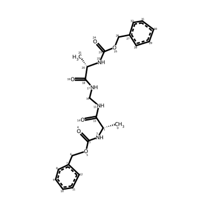 C[C@H](NC(=O)OCc1ccccc1)C(=O)NCNC(=O)[C@H](C)NC(=O)OCc1ccccc1